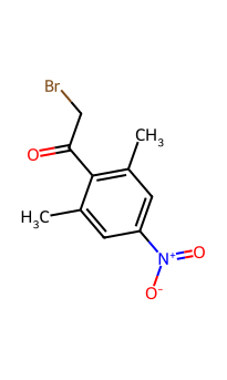 Cc1cc([N+](=O)[O-])cc(C)c1C(=O)CBr